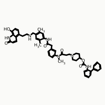 Cc1cc(NC(=O)Cc2cccc(N(C)C(=O)CCN3CCC(OC(=O)Nc4ccccc4-c4ccccc4)CC3)c2)c(C)cc1CNCCc1ccc(O)c2[nH]c(=O)ccc12